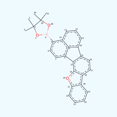 CC1(C)OB(c2ccc3c4c(cccc24)-c2ccc4c(oc5ccccc54)c2-3)OC1(C)C